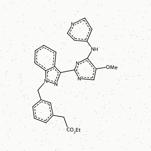 CCOC(=O)Cc1cccc(Cn2nc(-c3ncc(OC)c(Nc4ccncc4)n3)c3ccccc32)c1